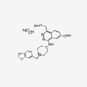 COCc1nnc(NC2CCN(Cc3ccc4c(c3)OCO4)CC2)c2cc(OC)ccc12.Cl.Cl